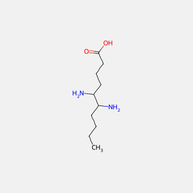 CCCCC(N)C(N)CCCC(=O)O